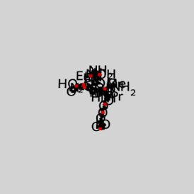 CCOc1nc(N)c2nc(O)n(Cc3ccc(CN(C(=O)O)C(Cc4ccc(NC(=O)[C@H](CCCNC(N)=O)NC(=O)[C@@H](NC(=O)CCOCCOCCOCCN5C(=O)C=CC5=O)C(C)C)cc4)c4ccc(CN5CCOCC5)cc4)cc3OC)c2n1